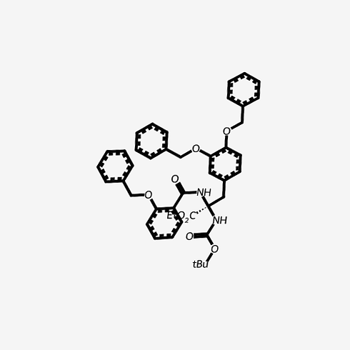 CCOC(=O)[C@](Cc1ccc(OCc2ccccc2)c(OCc2ccccc2)c1)(NC(=O)OC(C)(C)C)NC(=O)c1ccccc1OCc1ccccc1